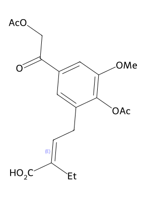 CC/C(=C\Cc1cc(C(=O)COC(C)=O)cc(OC)c1OC(C)=O)C(=O)O